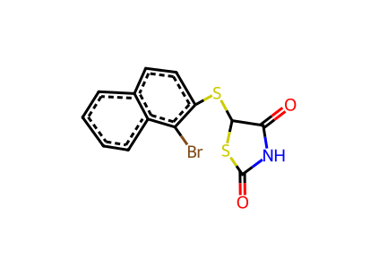 O=C1NC(=O)C(Sc2ccc3ccccc3c2Br)S1